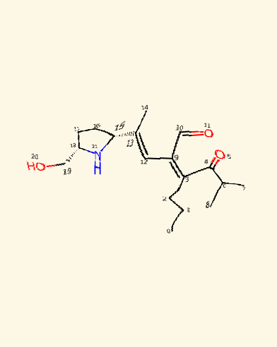 CCC/C(C(=O)C(C)C)=C(C=O)\C=C(/C)[C@H]1CC[C@@H](CO)N1